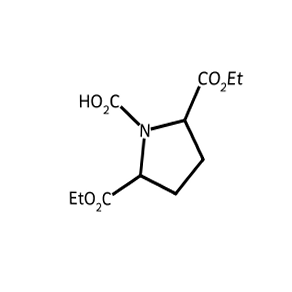 CCOC(=O)C1CCC(C(=O)OCC)N1C(=O)O